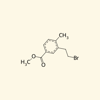 COC(=O)c1ccc(C)c(CCBr)c1